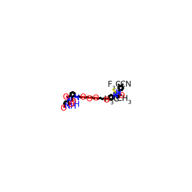 CC1(C)C(=O)N(c2ccc(C#N)c(C(F)(F)F)c2)C(=S)N1c1ccc(OCCCCOCCOCCOCCNc2cccc3c2C(=O)N(C2CCC(=O)NC2=O)C3=O)cc1